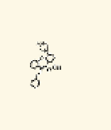 Cl.O=C1c2cccc(N3CCNCC3)c2Oc2ccccc2N1CCc1ccccc1